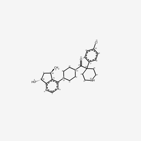 C[C@@H]1C[C@@H](O)c2ncnc(N3CCN(C(=O)C4(c5ccc(Cl)cc5)CCNCC4)CC3)c21